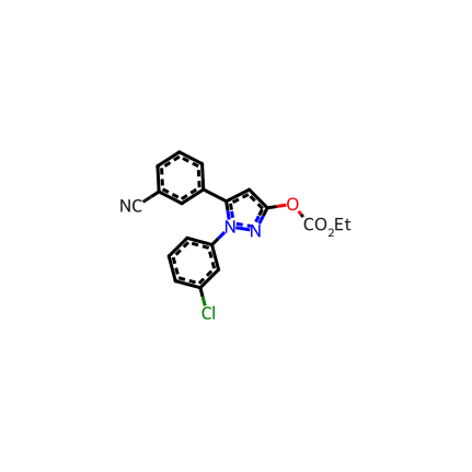 CCOC(=O)Oc1cc(-c2cccc(C#N)c2)n(-c2cccc(Cl)c2)n1